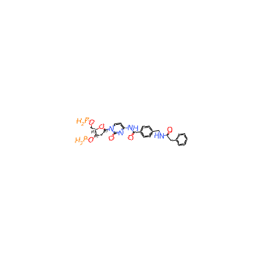 O=C(Cc1ccccc1)NCc1ccc(C(=O)Nc2ccn([C@H]3C[C@@H](OP)[C@@H](COP)O3)c(=O)n2)cc1